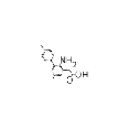 Cc1ccc(-c2cc(C)cc(CC(=O)O)c2N)cc1